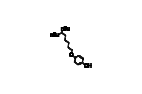 CCCCC(CCCC)CCCCCOc1ccc(O)cc1